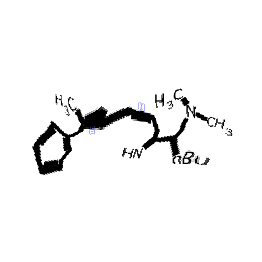 CCCCC(C(=N)/C=C\C=C(/C)c1ccccc1)N(C)C